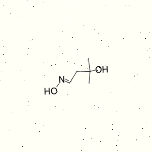 CC(C)(O)C/C=N/O